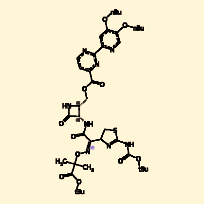 CCCCOc1cnc(-c2nccc(C(=O)OC[C@H]3NC(=O)[C@H]3NC(=O)/C(=N\OC(C)(C)C(=O)OC(C)(C)C)C3CSC(NC(=O)OC(C)(C)C)=N3)n2)cc1OCCCC